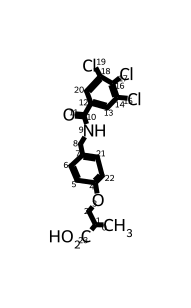 CC(COc1ccc(CNC(=O)c2cc(Cl)c(Cl)c(Cl)c2)cc1)C(=O)O